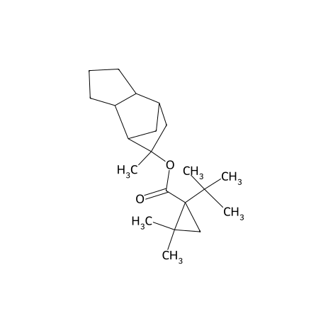 CC1(OC(=O)C2(C(C)(C)C)CC2(C)C)CC2CC1C1CCCC21